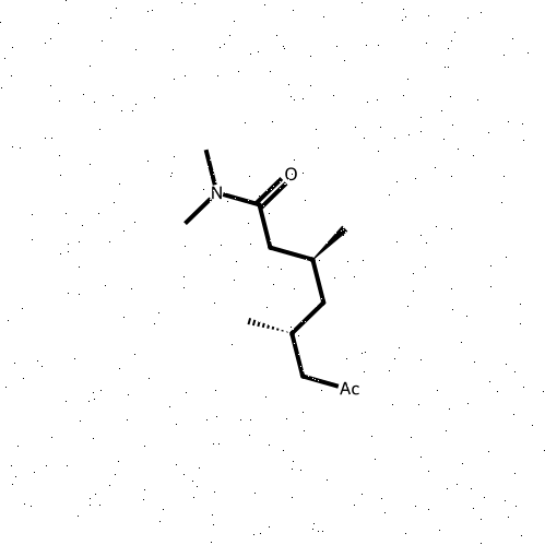 CC(=O)C[C@H](C)C[C@H](C)CC(=O)N(C)C